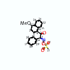 COc1ccc(C(=O)/C(=N/OS(C)(=O)=O)c2ccccc2)c2ccccc12